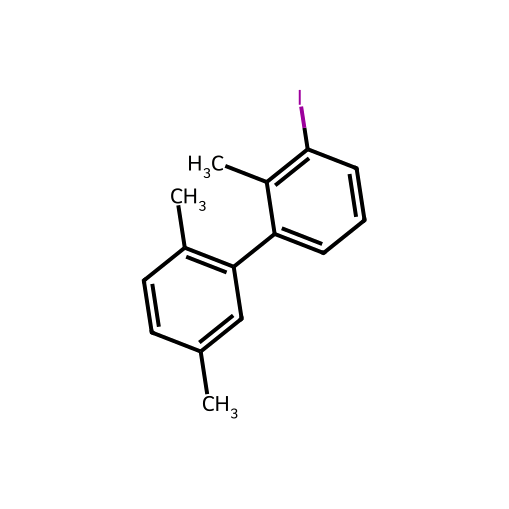 Cc1ccc(C)c(-c2cccc(I)c2C)c1